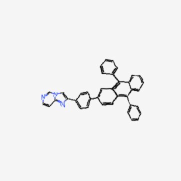 c1ccc(-c2c3ccccc3c(-c3ccccc3)c3cc(-c4ccc(-c5cn6cnccc6n5)cc4)ccc23)cc1